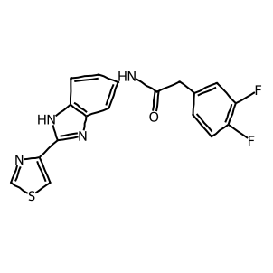 O=C(Cc1ccc(F)c(F)c1)Nc1ccc2[nH]c(-c3cscn3)nc2c1